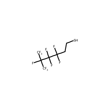 FC(F)(F)C(F)(C(F)(F)F)C(F)(F)C(F)(F)CCS